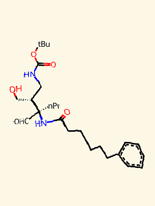 CCC[C@@]([C]=O)(NC(=O)CCCCCc1ccccc1)[C@H](CO)CNC(=O)OC(C)(C)C